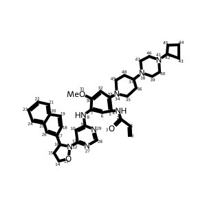 C=CC(=O)Nc1cc(Nc2cc(N3OCCC3c3ccc4ccccc4c3)ncn2)c(OC)cc1N1CCC(N2CCN(C3CCC3)CC2)CC1